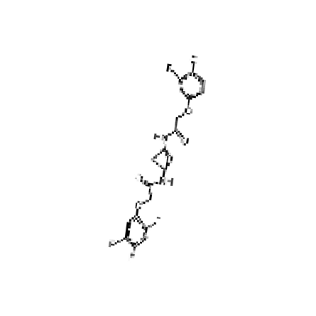 O=C(COc1ccc(Cl)c(F)c1)NC12CC(NC(=O)COc3cc(F)c(F)cc3F)(C1)C2